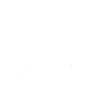 COc1cccc2c1CCCC2CN(C)CCc1ccc2c(c1)OC(=O)C2=O